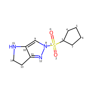 O=S(=O)(C1CCCC1)n1cc2c(n1)CCN2